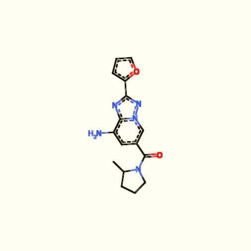 CC1CCCN1C(=O)c1cc(N)c2nc(-c3ccco3)nn2c1